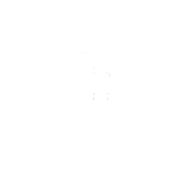 CC1(C)OB(c2ccc(-c3nc4ccccc4c4c3ccc3c5ccccc5oc34)c3ccccc23)OC1(C)C